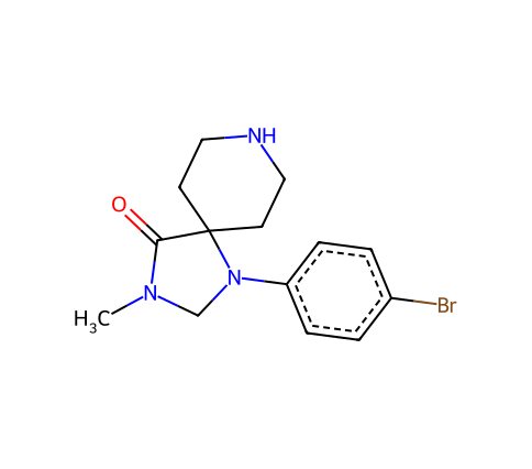 CN1CN(c2ccc(Br)cc2)C2(CCNCC2)C1=O